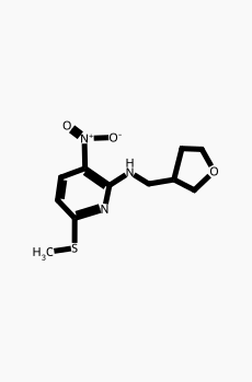 CSc1ccc([N+](=O)[O-])c(NCC2CCOC2)n1